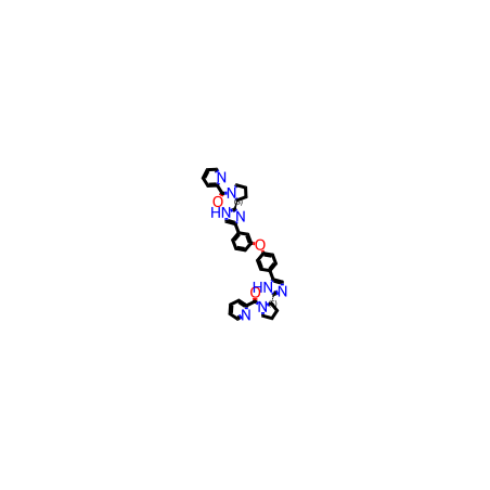 O=C(c1ccccn1)N1CCC[C@H]1c1nc(-c2cccc(Oc3ccc(-c4cnc([C@@H]5CCCN5C(=O)c5ccccn5)[nH]4)cc3)c2)c[nH]1